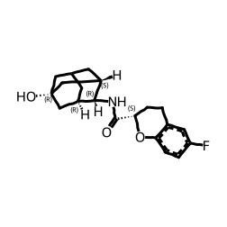 O=C(N[C@H]1[C@@H]2CC3C[C@H]1C[C@](O)(C3)C2)[C@@H]1CCc2cc(F)ccc2O1